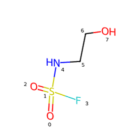 O=S(=O)(F)NCCO